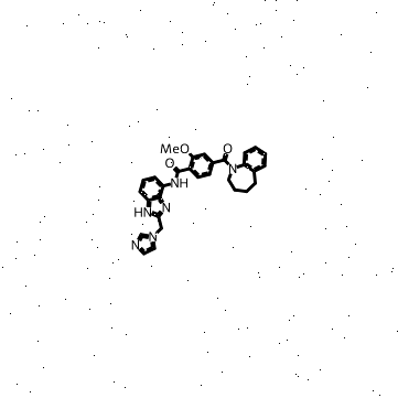 COc1cc(C(=O)N2CCCCc3ccccc32)ccc1C(=O)Nc1cccc2[nH]c(Cn3ccnc3)nc12